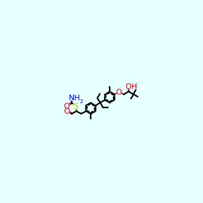 CCC(CC)(c1ccc(CC(C=O)SC(N)=O)c(C)c1)c1ccc(OCC(O)C(C)(C)C)c(C)c1